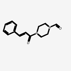 O=CN1CCN(C(=O)C=Cc2ccccc2)CC1